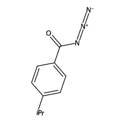 CC(C)c1ccc(C(=O)N=[N+]=[N-])cc1